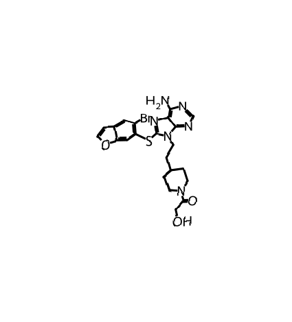 Nc1ncnc2c1nc(Sc1cc3occc3cc1Br)n2CCC1CCN(C(=O)CO)CC1